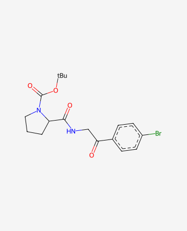 CC(C)(C)OC(=O)N1CCCC1C(=O)NCC(=O)c1ccc(Br)cc1